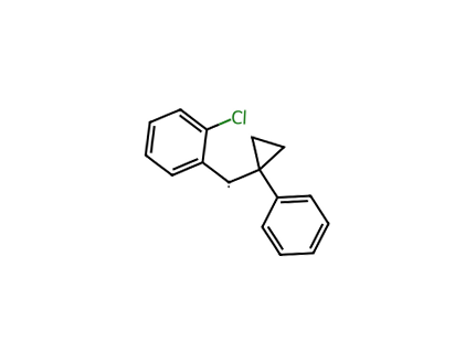 Clc1ccccc1[CH]C1(c2ccccc2)CC1